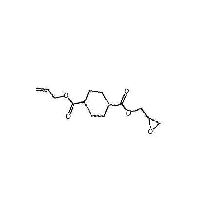 C=CCOC(=O)C1CCC(C(=O)OCC2CO2)CC1